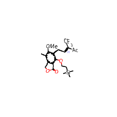 COc1c(C)c2c(c(OCC[Si](C)(C)C)c1C/C=C(/C(C)=O)C(F)(F)F)C(=O)OC2